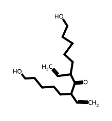 C=CC(CCCCCO)C(=O)C(C=C)CCCCCO